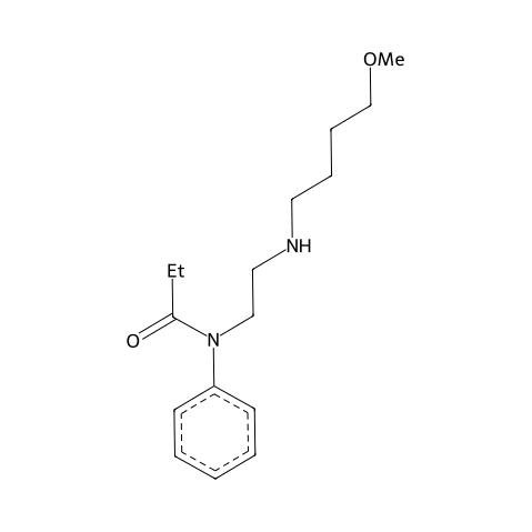 CCC(=O)N(CCNCCCCOC)c1ccccc1